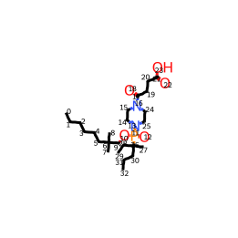 CCCCCCC(C)(C)COP(=O)(N1CCN(C(=O)CCC(=O)O)CC1)C(C)(CC)CCC